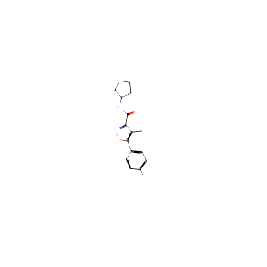 Cc1c(C(=O)NC2CCCC2)noc1-c1ccc(C(F)(F)F)cc1